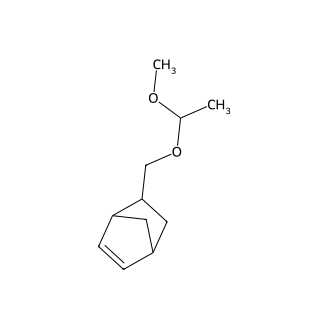 COC(C)OCC1CC2C=CC1C2